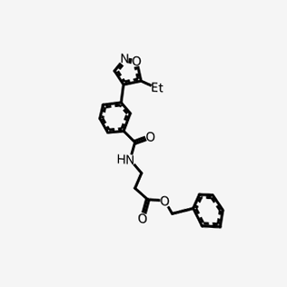 CCc1oncc1-c1cccc(C(=O)NCCC(=O)OCc2ccccc2)c1